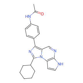 CC(=O)Nc1ccc(-c2nc(C3CCCCC3)n3c2cnc2[nH]ccc23)cc1